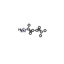 C/C=C(\C=C/CC)c1cc(-c2ccccc2)cc(-n2c3ccccc3c3cc(-c4ccc5c(c4)c4ccccc4n5-c4cc(-c5ccccc5)cc(-c5ccccc5)c4)ccc32)c1